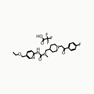 CCOCc1ccc(NC(=O)N(C)CC2CCN(CC(=O)c3ccc(F)cc3)CC2)nc1.O=C(O)C(F)(F)F